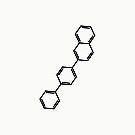 [c]1cc(-c2ccc3ccccc3c2)ccc1-c1ccccc1